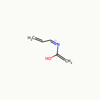 C=C/C=N\C(=C)O